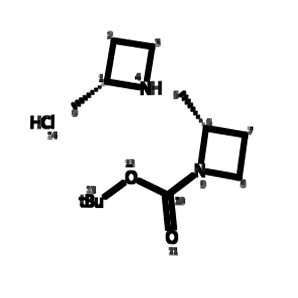 C[C@@H]1CCN1.C[C@@H]1CCN1C(=O)OC(C)(C)C.Cl